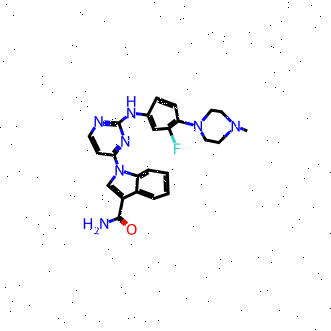 CN1CCN(c2ccc(Nc3nccc(-n4cc(C(N)=O)c5ccccc54)n3)cc2F)CC1